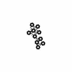 c1ccc(B2c3ccccc3Sc3c2c2c(c4sc5ccccc5c34)B(c3cccc(-n4c5ccccc5c5c4ccc4c6ccccc6n(-c6ccccc6)c45)c3)c3ccccc3S2)cc1